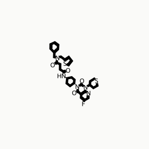 O=C(CCC(=O)N(Cc1ccccc1)Cc1cccs1)N[C@H]1CC[C@@H](n2c(=O)c3cc(F)cnc3n(C3CCSCC3)c2=O)CC1